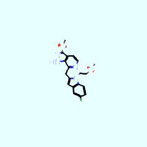 CS(=O)(=O)CCn1c(Cc2nccc3c(S(C)(=O)=O)n[nH]c23)cc2cc(Cl)ccc21